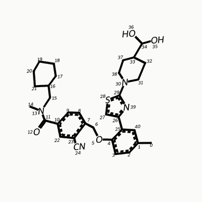 Cc1ccc(OCc2ccc(C(=O)N(C)CC3CCCCC3)cc2C#N)c(-c2csc(N3CCC(C(O)O)CC3)n2)c1